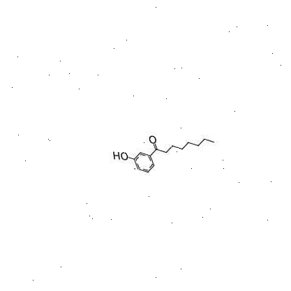 CCCCCCCC(=O)c1cc[c]c(O)c1